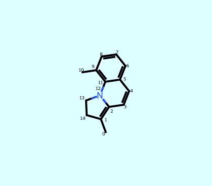 CC1=C2C=Cc3cccc(C)c3N2CC1